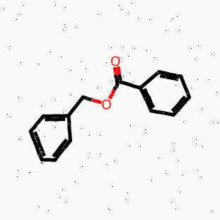 O=C(OCc1cc[c]cc1)c1ccccc1